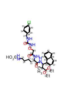 CCOC(OCC)[C@@H](C)C(NC(=O)[C@H](CCCCNC(=O)O)NC(=O)CONC(=O)NCc1ccc(Cl)cc1)c1cccc2ccccc12